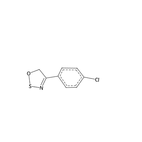 Clc1ccc(C2=NSOC2)cc1